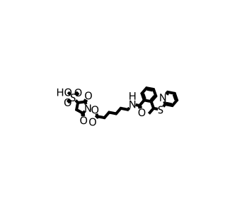 CC(Sc1ccccn1)c1ccccc1C(=O)NCCCCCC(=O)ON1C(=O)CC(S(=O)(=O)O)C1=O